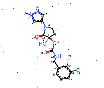 Cn1cc(N2CC[C@@](O)(OC(=O)NCc3cccc(Cl)c3F)C2=O)cn1